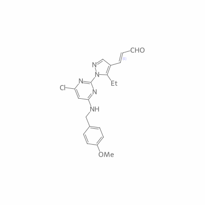 CCc1c(/C=C/C=O)cnn1-c1nc(Cl)cc(NCc2ccc(OC)cc2)n1